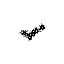 CC1(C)CC[C@]2([C@H](O)[C@@H](O)C3C(O)C(CO)[C@H](O)C3O)CCC3C(=CCC4[C@@]3(C)CCC3C(C)(C)[C@@H](NC(=O)c5c(F)c(F)cc(F)c5F)CC[C@@]34C)C2C1